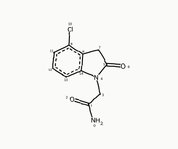 NC(=O)CN1C(=O)Cc2c(Cl)cccc21